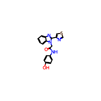 O=C(Cn1c(-c2cscn2)nc2ccccc21)Nc1ccc(O)cc1